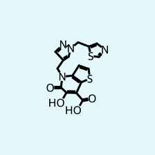 O=C(O)c1c(O)c(=O)n(Cc2cnn(Cc3cncs3)c2)c2ccsc12